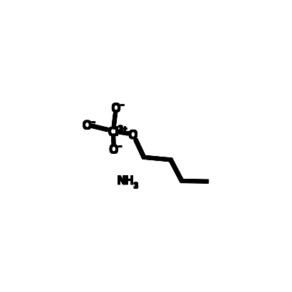 CCCCO[Cl+3]([O-])([O-])[O-].N